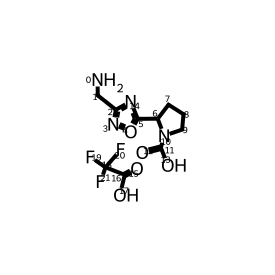 NCc1noc(C2CCCN2C(=O)O)n1.O=C(O)C(F)(F)F